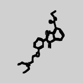 CCOC(=O)c1cccc2[nH]c(-c3cccc(OCCN(CC)CC)c3)nc12